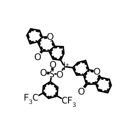 O=c1c2ccccc2oc2ccc([I+](OS(=O)(=O)c3cc(C(F)(F)F)cc(C(F)(F)F)c3)c3ccc4oc5ccccc5c(=O)c4c3)cc12